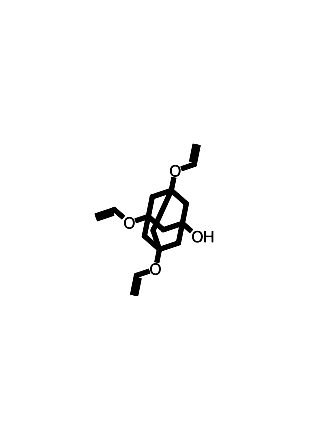 C=COC12CC3(O)CC(OC=C)(C1)CC(OC=C)(C3)C2